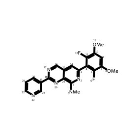 CNc1nc(-c2c(F)c(OC)cc(OC)c2F)cc2cnc(-c3cccnc3)nc12